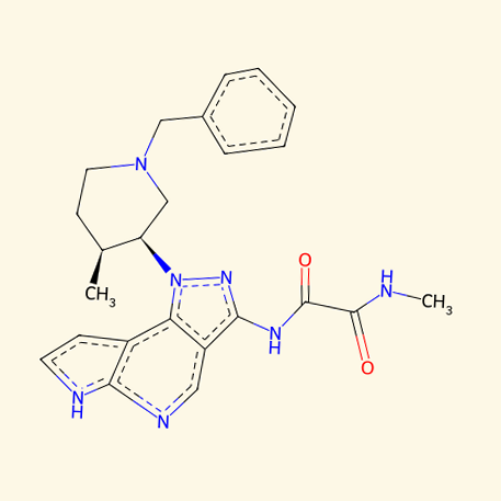 CNC(=O)C(=O)Nc1nn([C@@H]2CN(Cc3ccccc3)CC[C@@H]2C)c2c1cnc1[nH]ccc12